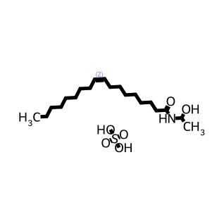 CCCCCCCC/C=C\CCCCCCCC(=O)NC(C)O.O=S(=O)(O)O